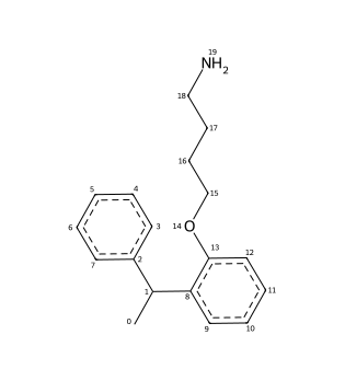 CC(c1ccccc1)c1ccccc1OCCCCN